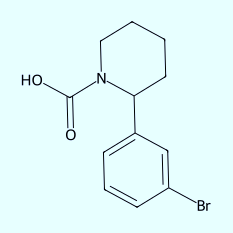 O=C(O)N1CCCCC1c1cccc(Br)c1